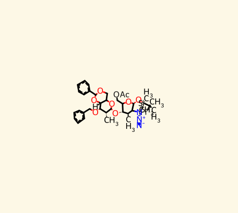 CC(=O)OCC1O[C@@H](O[Si](C)(C)C(C)(C)C(C)C)C(N=[N+]=[N-])[C@@H](C)[C@@H]1O[C@@H]1OC2COC(c3ccccc3)O[C@H]2[C@@H](OCc2ccccc2)[C@H]1C